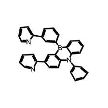 c1ccc(N2c3ccccc3B(c3cccc(-c4ccccn4)c3)c3cc(-c4ccccn4)ccc32)cc1